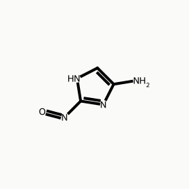 Nc1c[nH]c(N=O)n1